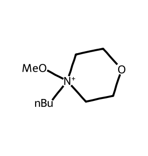 CCCC[N+]1(OC)CCOCC1